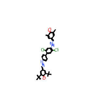 CC1=CC(=C/N=N/c2cc(Cl)c(-c3ccc(/N=N/C=C4C=C(C(C)(C)C)C(=O)C(C(C)(C)C)=C4)cc3)cc2Cl)C=C(C)C1=O